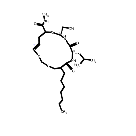 CCCCCCCC1CCCC/C=C/CC(C(=O)NC)C[C@@H](CO)NC(=O)[C@H](CC(C)C)NC1=O